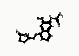 CNc1cc2c(OCC3CCC(=O)N3)nccc2cc1OC(N)=O